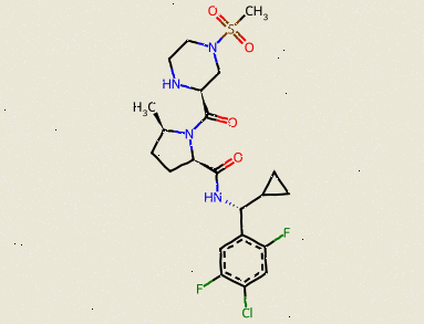 C[C@@H]1CC[C@H](C(=O)N[C@@H](c2cc(F)c(Cl)cc2F)C2CC2)N1C(=O)[C@@H]1CN(S(C)(=O)=O)CCN1